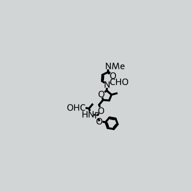 CNC(=O)/C=C\N(C=O)C1OC(COP(NC(C)C=O)Oc2ccccc2)CC1C